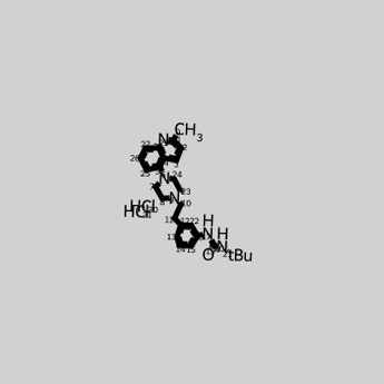 Cc1ccc2c(N3CCN(CCc4cccc(NC(=O)NC(C)(C)C)c4)CC3)cccc2n1.Cl.Cl